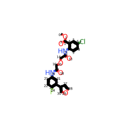 COC(=O)c1cc(Cl)ccc1NC(=O)COCC(=O)Nc1ccc(F)c(-c2ccoc2)c1